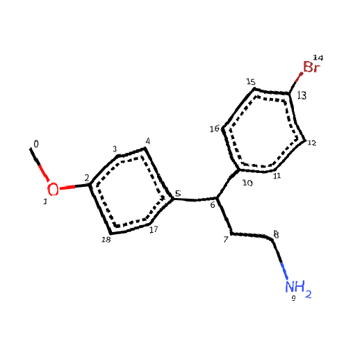 COc1ccc(C(CCN)c2ccc(Br)cc2)cc1